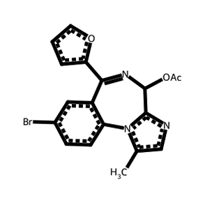 CC(=O)OC1N=C(c2ccco2)c2cc(Br)ccc2-n2c(C)cnc21